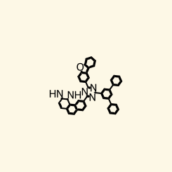 N=C1C=Cc2ccc3ccc(-c4nc(-c5cc(-c6ccccc6)cc(-c6ccccc6)c5)nc(-c5ccc6oc7ccccc7c6c5)n4)cc3c2C1=N